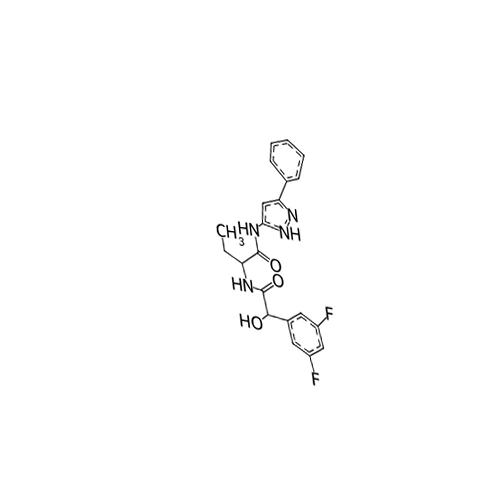 CCC(NC(=O)C(O)c1cc(F)cc(F)c1)C(=O)Nc1cc(-c2ccccc2)n[nH]1